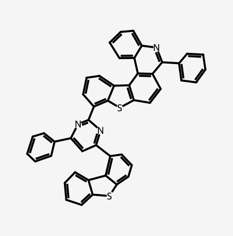 c1ccc(-c2cc(-c3cccc4sc5ccccc5c34)nc(-c3cccc4c3sc3ccc5c(-c6ccccc6)nc6ccccc6c5c34)n2)cc1